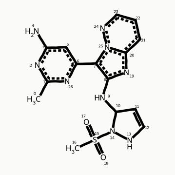 Cc1nc(N)cc(-c2c(NC3C=CNN3S(C)(=O)=O)nc3cccnn23)n1